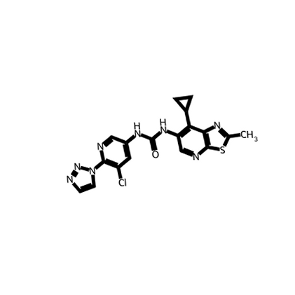 Cc1nc2c(C3CC3)c(NC(=O)Nc3cnc(-n4ccnn4)c(Cl)c3)cnc2s1